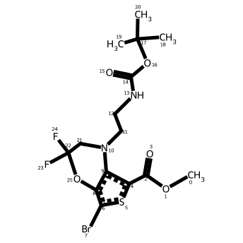 COC(=O)c1sc(Br)c2c1N(CCNC(=O)OC(C)(C)C)CC(F)(F)O2